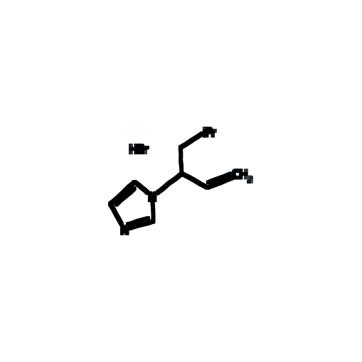 Br.C=CC(CC(C)C)n1ccnc1